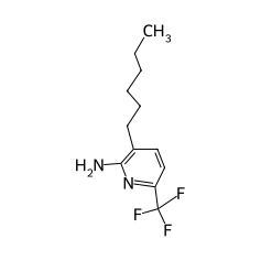 CCCCCCc1ccc(C(F)(F)F)nc1N